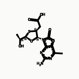 Cc1nc(N)nc2c1sc(=O)n2[C@@H]1O[C@@H]([C@H](C)O)S[C@H]1CC(=O)O